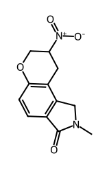 CN1Cc2c(ccc3c2CC([N+](=O)[O-])CO3)C1=O